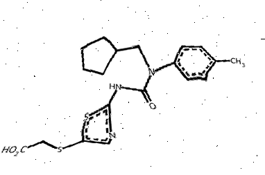 Cc1ccc(N(CC2CCCC2)C(=O)Nc2ncc(SCC(=O)O)s2)cc1